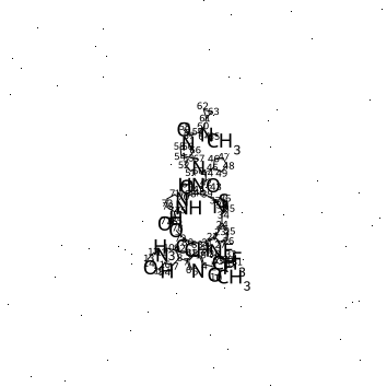 CO[C@@H](C)c1ncc([C@@H]2CCN3CCOC[C@@H]3C2)cc1-c1c2c3cc(ccc3n1CC(F)(F)F)-c1csc(n1)C[C@H](NC(=O)[C@H](C1CCCC1)N1CC[C@]3(CCN(C(=O)[C@H]4[C@@H](C5CC5)N4C)C3)C1)C(=O)N1CCC[C@H](N1)C(=O)OCC(C)(C)C2